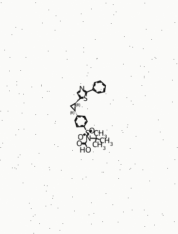 CC(C)(C)N(C(=O)O)S(=O)(=O)c1ccc([C@@H]2C[C@H]2c2cnc(-c3ccccc3)s2)cc1